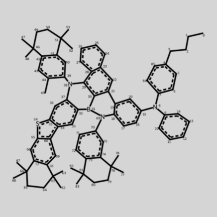 CCCCc1ccc(N(c2ccccc2)c2ccc3c(c2)-c2cc4ccccc4c4c2B(c2cc5c(cc2N4c2cc4c(cc2C)C(C)(C)CCC4(C)C)sc2cc4c(cc25)C(C)(C)CCC4(C)C)N3c2ccc3c(c2)C(C)(C)CCC3(C)C)cc1